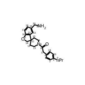 CCCc1ccc(CC(=O)N2CCC3(CC2)COc2ccc(CN)cc23)cc1